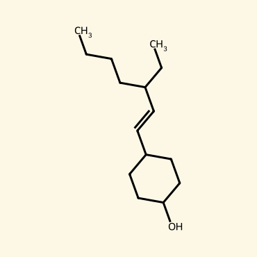 CCCCC(/C=C/C1CCC(O)CC1)CC